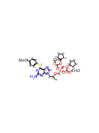 COc1ccc(Sc2nc(N)nc3c2ncn3CC(C)OCP(=O)(OC(OC=O)OC2CCCC2)OC(OC=O)OC2CCCC2)cc1